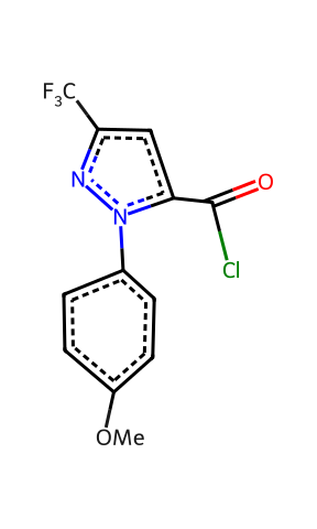 COc1ccc(-n2nc(C(F)(F)F)cc2C(=O)Cl)cc1